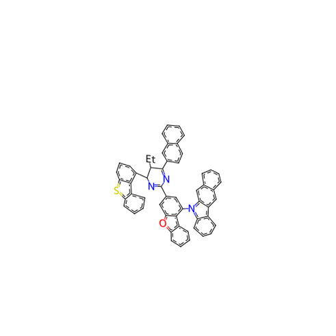 CCC1C(c2ccc3ccccc3c2)=NC(c2cc(-n3c4ccccc4c4cc5ccccc5cc43)c3c(c2)oc2ccccc23)=NC1c1cccc2sc3ccccc3c12